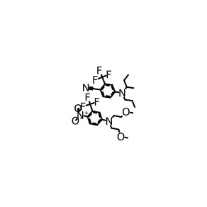 CCCN(c1ccc(C#N)c(C(F)(F)F)c1)C(C)CC.COCCN(CCOC)c1ccc([N+](=O)[O-])c(C(F)(F)F)c1